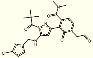 CN(C)C(=O)c1ccn(CC=O)c(=O)c1-c1cc(NCc2ccc(Cl)s2)n(C(=O)C(C)(C)C)n1